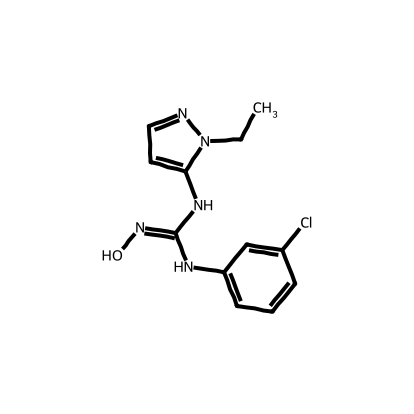 CCn1nccc1N/C(=N/O)Nc1cccc(Cl)c1